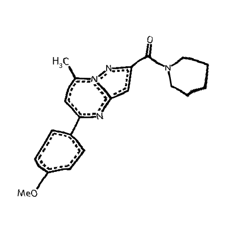 COc1ccc(-c2cc(C)n3nc(C(=O)N4CCCCC4)cc3n2)cc1